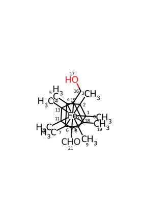 C[C]12[C]3(C)[C]4(C)[C]5(C)[C]1(C)[Fe]23451678[C]2(C)[C]1(C)[C]6(CO)[C]7(C)[C]28C=O